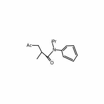 CC(=O)CC(C)C(=O)N(c1ccccc1)C(C)C